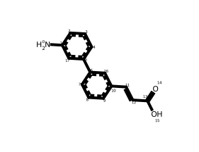 Nc1cccc(-c2cccc(C=CC(=O)O)c2)c1